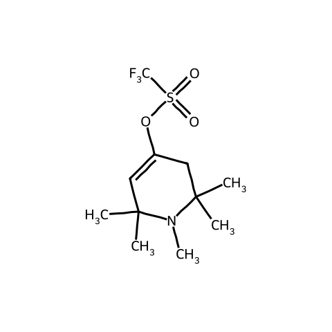 CN1C(C)(C)C=C(OS(=O)(=O)C(F)(F)F)CC1(C)C